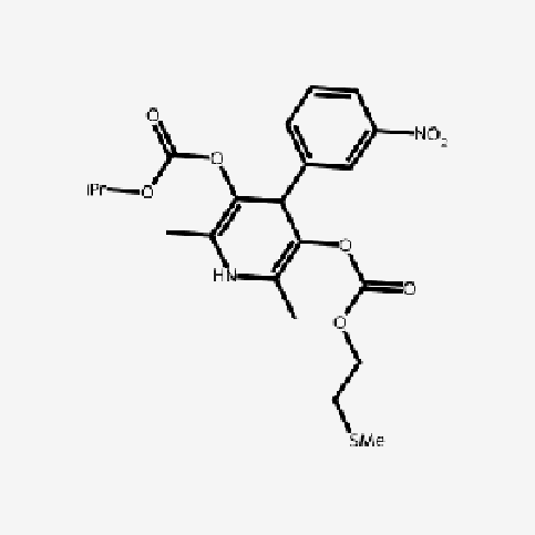 CSCCOC(=O)OC1=C(C)NC(C)=C(OC(=O)OC(C)C)C1c1cccc([N+](=O)[O-])c1